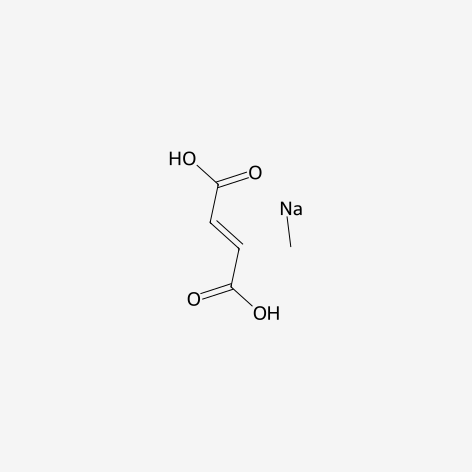 O=C(O)C=CC(=O)O.[CH3][Na]